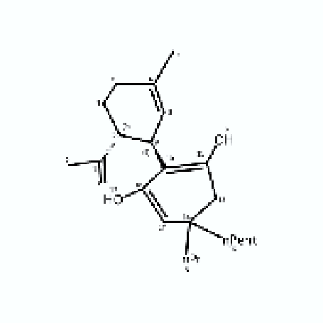 C=C(C)[C@@H]1CCC(C)=C[C@H]1C1=C(O)CC(CCC)(CCCCC)C=C1O